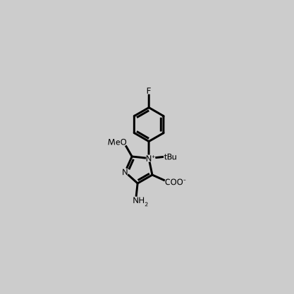 COC1=NC(N)=C(C(=O)[O-])[N+]1(c1ccc(F)cc1)C(C)(C)C